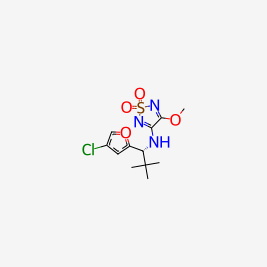 COC1=NS(=O)(=O)N=C1N[C@@H](c1cc(Cl)co1)C(C)(C)C